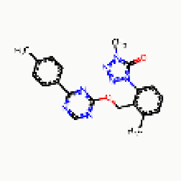 Cc1ccc(-c2ncnc(OCc3c(C)cccc3-n3nnn(C)c3=O)n2)cc1